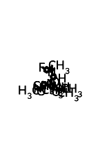 CN[C@@H](C)C(=O)Nc1ccc(-c2cccc(C(=O)N(C)C)c2C)n(Cc2cccc(-n3cc(C)c4cc(F)ccc43)c2)c1=O